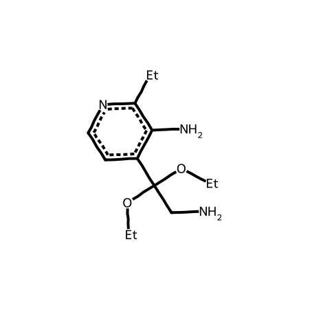 CCOC(CN)(OCC)c1ccnc(CC)c1N